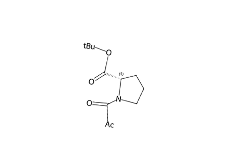 CC(=O)C(=O)N1CCC[C@H]1C(=O)OC(C)(C)C